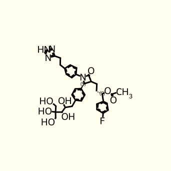 CC(=O)O[C@@H](CCC1C(=O)N(c2ccc(CCc3nc[nH]n3)cc2)[C@@H]1c1ccc(CC(O)C(O)C(O)(CO)CO)cc1)c1ccc(F)cc1